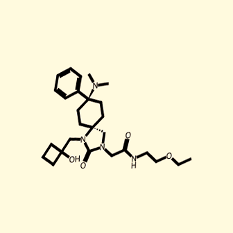 CCOCCNC(=O)CN1C[C@]2(CC[C@](c3ccccc3)(N(C)C)CC2)N(CC2(O)CCC2)C1=O